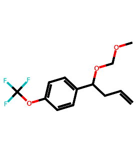 C=CCC(OCOC)c1ccc(OC(F)(F)F)cc1